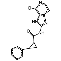 O=C(Nc1nc2ccnc(Cl)c2[nH]1)C1CC1c1ccccc1